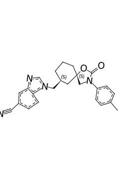 Cc1ccc(N2C[C@@]3(CCC[C@H](Cn4cnc5cc(C#N)ccc54)C3)OC2=O)cc1